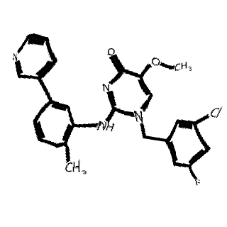 COc1cn(Cc2cc(F)cc(Cl)c2)c(Nc2cc(-c3cccnc3)ccc2C)nc1=O